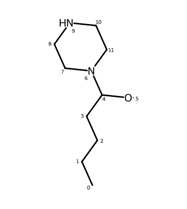 CCCCC([O])N1CCNCC1